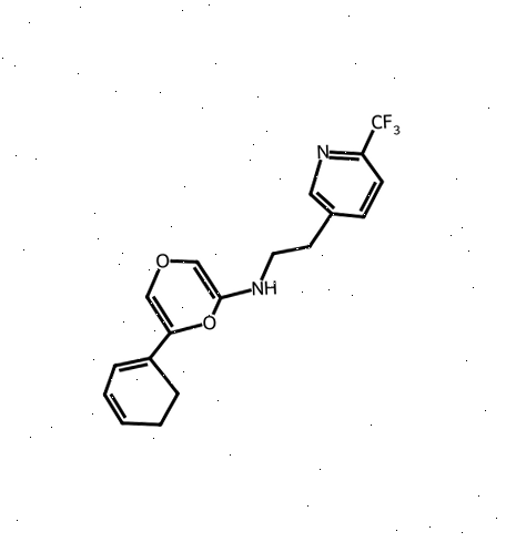 FC(F)(F)c1ccc(CCNC2=COC=C(C3=CC=CCC3)O2)cn1